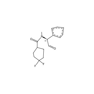 CN(C(=O)C1CCC(F)(F)CC1)[C@H](C=O)c1ccccc1